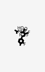 Cc1ccc(-c2cc(C(F)(F)F)c(C(=O)O)c(NC(C)C)n2)cc1F